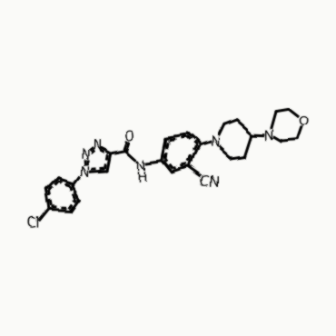 N#Cc1cc(NC(=O)c2cn(-c3ccc(Cl)cc3)nn2)ccc1N1CCC(N2CCOCC2)CC1